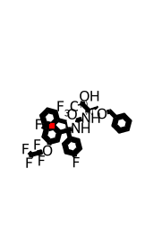 O=C(N[C@H](COCc1ccccc1)[C@@H](O)C(F)(F)F)N[C@](Cc1ccccc1)(c1ccc(F)cc1)c1cc(F)cc(OC(F)(F)C(F)F)c1